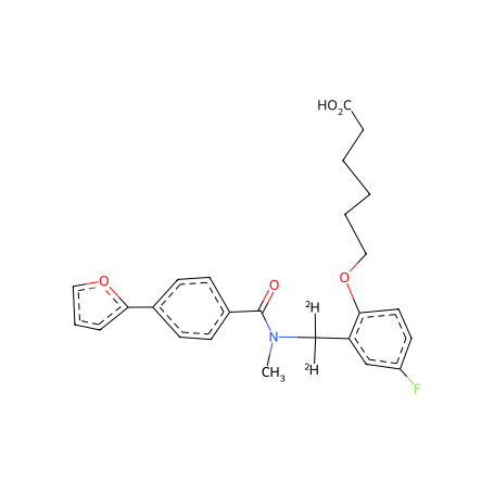 [2H]C([2H])(c1cc(F)ccc1OCCCCCC(=O)O)N(C)C(=O)c1ccc(-c2ccco2)cc1